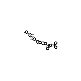 Cc1cccc(-c2ccc(S(=O)(=O)c3ccc(-c4ccc5cc6c(cc5c4)Cc4ccc(-n5c7ccccc7c7cc(-n8c9ccccc9c9ccccc98)ccc75)cc4C6)cc3)cc2)c1